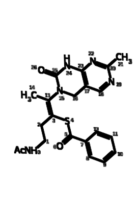 CC(=O)NCC/C(SC(=O)c1ccccc1)=C(\C)N1Cc2cnc(C)nc2NC1=O